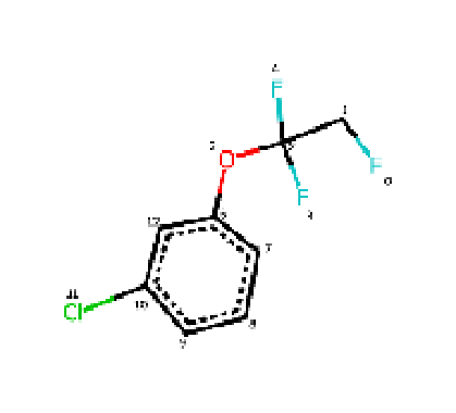 FCC(F)(F)Oc1[c]ccc(Cl)c1